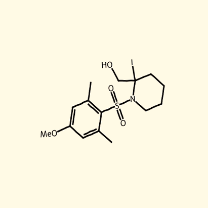 COc1cc(C)c(S(=O)(=O)N2CCCCC2(I)CO)c(C)c1